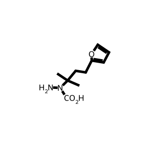 CC(C)(CCc1ccco1)N(N)C(=O)O